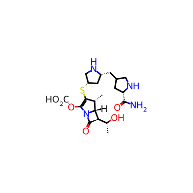 C[C@@H](O)[C@H]1C(=O)N2C(OC(=O)O)=C(S[C@@H]3CN[C@H](CC4CN[C@H](C(N)=O)C4)C3)[C@H](C)[C@H]12